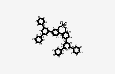 O=S1(=O)Cc2cc(-c3cc(-c4ccccc4)cc(-c4ccccc4)c3)ccc2-c2cc(-c3cc(-c4ccccc4)nc(-c4ccccc4)c3)ccc2C1